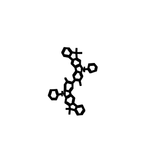 Cc1cc2c(cc1-c1cc3c4cc5c(cc4n(-c4ccccc4)c3cc1C)C(C)(C)c1ccccc1-5)c1cc3c(cc1n2-c1ccccc1)C(C)(C)c1ccccc1-3